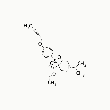 CC#CCOc1ccc(S(=O)(=O)C2(C(=O)OCC)CCN(C(C)C)CC2)cc1